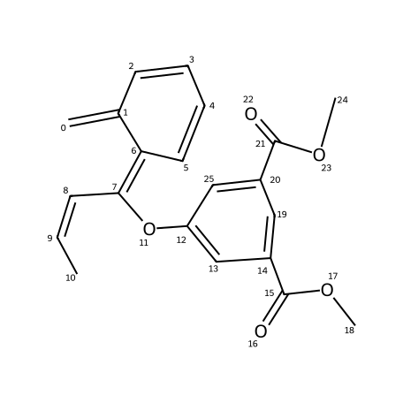 C=c1cccc/c1=C(/C=C\C)Oc1cc(C(=O)OC)cc(C(=O)OC)c1